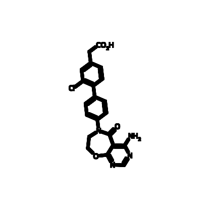 Nc1ncnc2c1C(=O)N(c1ccc(-c3ccc(CC(=O)O)cc3Cl)cc1)CCO2